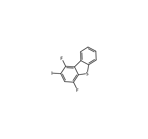 Fc1cc(I)c(F)c2c1sc1ccccc12